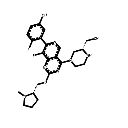 CN1CCC[C@H]1COc1nc(N2CCN[C@@H](CC#N)C2)c2cnc(-c3cc(O)ccc3F)c(F)c2n1